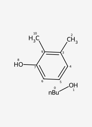 CCCCO.Cc1cccc(O)c1C